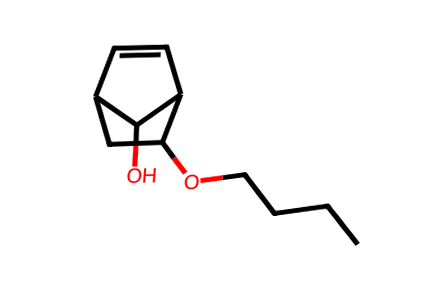 CCCCOC1CC2C=CC1C2O